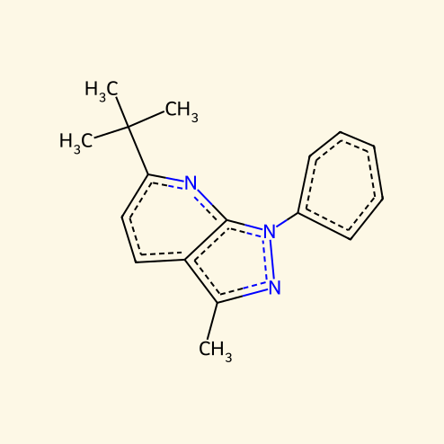 Cc1nn(-c2ccccc2)c2nc(C(C)(C)C)ccc12